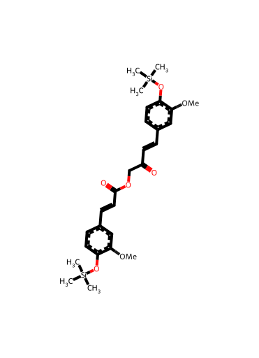 COc1cc(/C=C/C(=O)COC(=O)/C=C/c2ccc(O[Si](C)(C)C)c(OC)c2)ccc1O[Si](C)(C)C